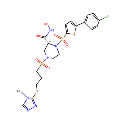 Cn1cnnc1SCCCS(=O)(=O)N1CCN(S(=O)(=O)c2ccc(-c3ccc(F)cc3)s2)[C@@H](C(=O)NO)C1